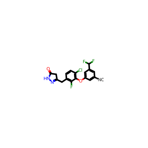 [C-]#[N+]c1cc(Oc2c(Cl)ccc(CC3=NNC(=O)C3)c2F)cc(C(F)F)c1